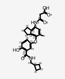 Cc1cc(NC(=O)CC(=O)O)c2c(c1Oc1ccc(O)c(C(=O)NCC3CCC3)c1)CCC2